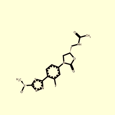 CC(=O)NC[C@H]1CN(c2ccc(-c3nnc([S@+](C)[O-])s3)c(F)c2)C(=O)O1